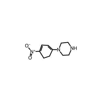 O=[N+]([O-])C1=CC=C(N2CCNCC2)CC1